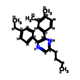 CCCCc1cnc(-c2ccc(CC)cc2)c(-c2ccc(C)c(C)c2)n1